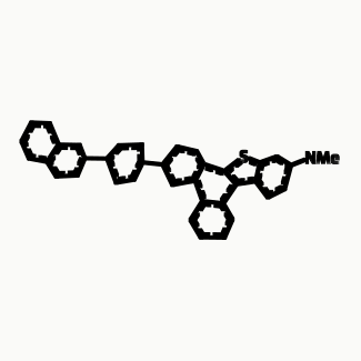 CNc1ccc2c(c1)sc1c3ccc(-c4ccc(-c5ccc6ccccc6c5)cc4)cc3c3ccccc3c21